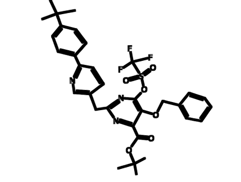 CC(C)(C)OC(=O)c1nc(Cc2ccc(-c3ccc(C(C)(C)C)cc3)nc2)nc(OS(=O)(=O)C(F)(F)F)c1OCc1ccccc1